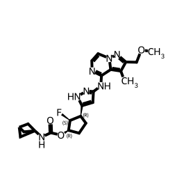 COCc1nn2ccnc(Nc3cc([C@H]4CC[C@@H](OC(=O)NC56CC(C5)C6)[C@H]4F)[nH]n3)c2c1C